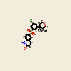 COC1(c2cc(F)cc(S(=O)(=O)c3ccc4c(c3)CCC(=O)N4C)c2)CCOCC1